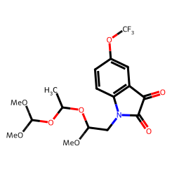 COC(CN1C(=O)C(=O)c2cc(OC(F)(F)F)ccc21)OC(C)OC(OC)OC